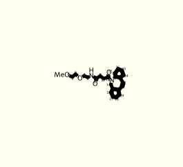 COCCOCCNC(=O)CCC(=O)N1Cc2ccccc2C#Cc2ccccc21